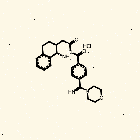 Cl.N=C(c1ccc(C(=O)OC(=O)CC2CCc3ccccc3C2N)cc1)N1CCOCC1